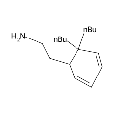 CCCCC1(CCCC)C=CC=CC1CCN